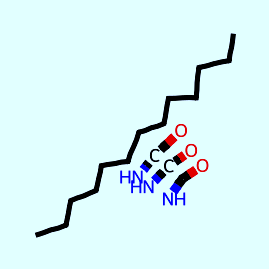 CCCCCCCCCCCCC.N=C=O.N=C=O.N=C=O